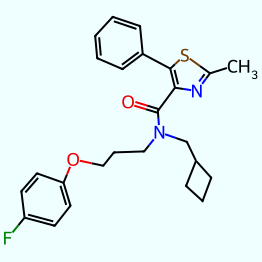 Cc1nc(C(=O)N(CCCOc2ccc(F)cc2)CC2CCC2)c(-c2ccccc2)s1